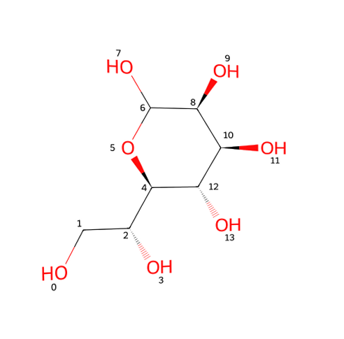 OC[C@@H](O)[C@H]1OC(O)[C@@H](O)[C@@H](O)[C@@H]1O